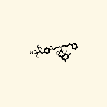 CCOC(Cc1ccc(OCCN(CCCc2ccccc2)C(=O)Oc2c(C)cc(C)cc2C)cc1)C(=O)O